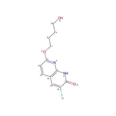 O=c1[nH]c2nc(OCCCCO)ccc2cc1F